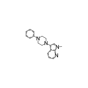 Cn1cc(N2CCN(c3ccccc3)CC2)c2cccnc21